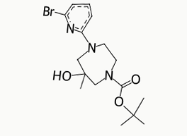 CC1(O)CN(C(=O)OC(C)(C)C)CCN(c2cccc(Br)n2)C1